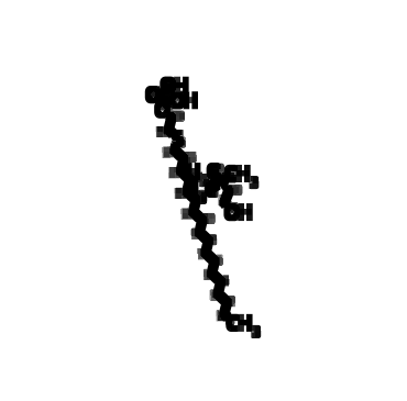 CCCCCCCCCCCCCCCCCCSCCOP(=O)(O)O.C[N+](C)(C)CCO